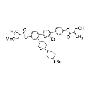 C=C(CO)C(=O)Oc1ccc(-c2ccc(-c3ccc(OC(=O)C(=C)COC)cc3C3CCC(C4CCC(CCCC)CC4)CC3)cc2CC)cc1